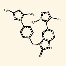 Cc1cnn(C)c1-c1cc2c(cn1)[nH]c(=O)n2Cc1ccc(-n2nc(C(F)(F)F)cc2C)cc1